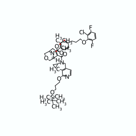 Cc1c(CN(C(=O)C2=C(c3ccc(CCCOc4c(F)ccc(F)c4Cl)cc3)CC3COC[C@H]2N3C(=O)OC(C)(C)C)C2CC2)ccnc1OCCCO[Si](C)(C)C(C)(C)C